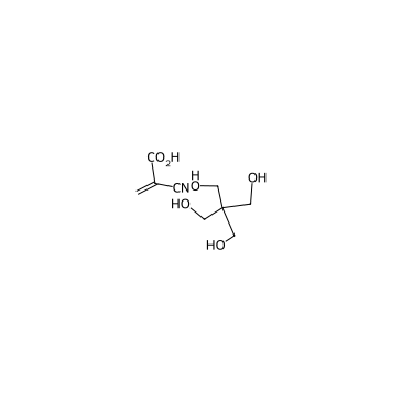 C=C(C#N)C(=O)O.OCC(CO)(CO)CO